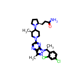 Cc1nn([C@H](C)c2ccc(Cl)cc2Cl)c2nc(N3CCC(N4CCC[C@H]4CCC(N)=O)[C@H](C)C3)cnc12